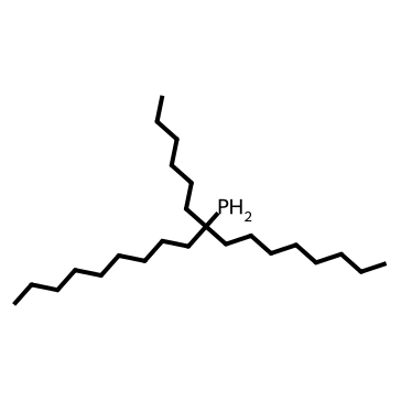 CCCCCCCCCC(P)(CCCCCC)CCCCCCCC